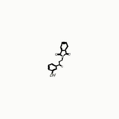 O=C(CCN1C(=O)c2ccccc2C1=O)c1cccc(O)c1